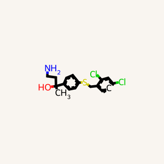 CC(O)(CCN)c1ccc(SCc2ccc(Cl)cc2Cl)cc1